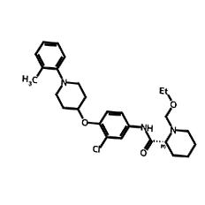 CCOCN1CCCC[C@@H]1C(=O)Nc1ccc(OC2CCN(c3ccccc3C)CC2)c(Cl)c1